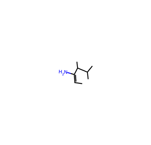 C/C=C(/N)C(C)C(C)C